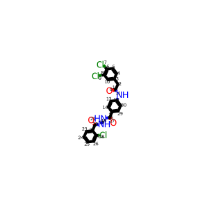 O=C(Cc1ccc(Cl)c(Cl)c1)Nc1ccc(C(=O)NNC(=O)c2ccccc2Cl)cc1